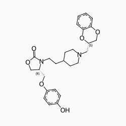 O=C1OC[C@@H](COc2ccc(O)cc2)N1CCC1CCN(C[C@H]2COc3ccccc3O2)CC1